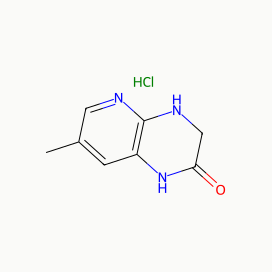 Cc1cnc2c(c1)NC(=O)CN2.Cl